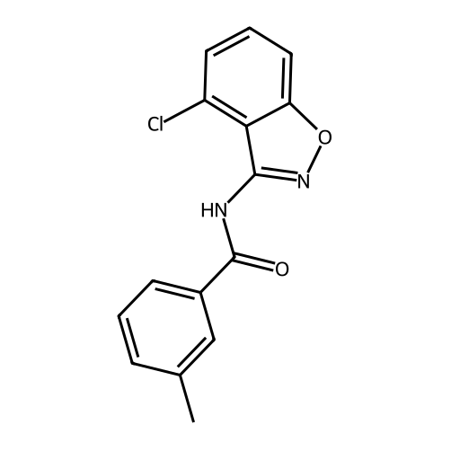 Cc1cccc(C(=O)Nc2noc3cccc(Cl)c23)c1